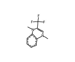 CN1C=C(C(F)(F)F)N(C)c2ccccc21